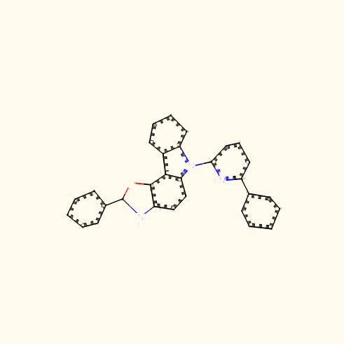 c1ccc(-c2cccc(-n3c4ccccc4c4c5c(ccc43)NC(c3ccccc3)O5)n2)cc1